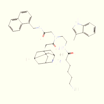 NCCCC[C@H](N)C(=O)N[C@@H](Cc1c[nH]c2ccccc12)CN(CC(=O)NCc1cccc2ccccc12)C(=O)C[C@]12CC3C[C@H](C[C@H](C3)C1)C2